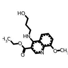 CCOC(=O)c1cnc2c(OC)cccc2c1NCCCO